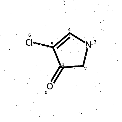 O=C1C[N][C]=C1Cl